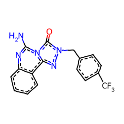 Nc1nc2ccccc2c2nn(Cc3ccc(C(F)(F)F)cc3)c(=O)n12